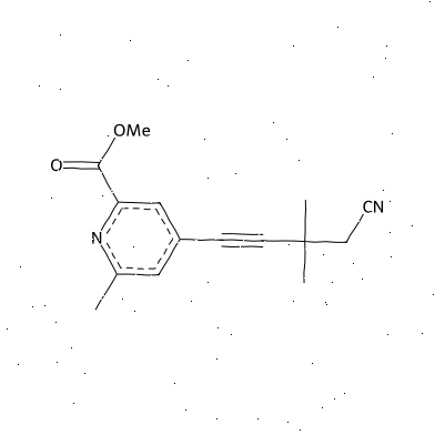 COC(=O)c1cc(C#CC(C)(C)CC#N)cc(C)n1